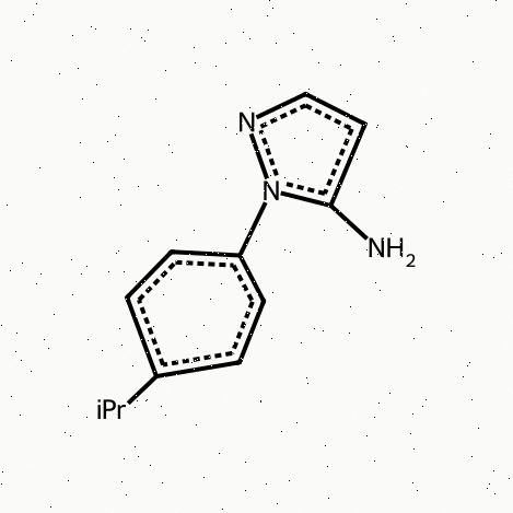 CC(C)c1ccc(-n2nccc2N)cc1